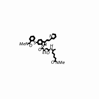 CCN(CC(=O)NC(C)CCCCC(=O)NC)C(=O)n1nc(/C=C/c2ccccn2)c2ccc(Sc3ccccc3C(=O)NC)cc21